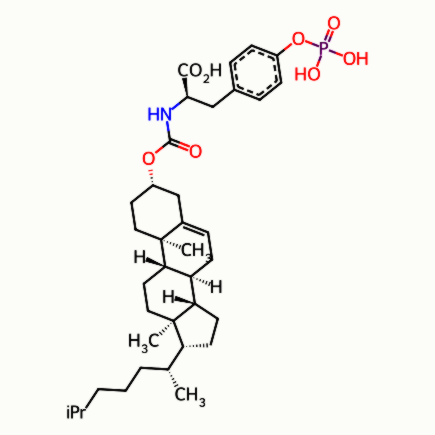 CC(C)CCC[C@@H](C)[C@H]1CC[C@H]2[C@@H]3CC=C4C[C@@H](OC(=O)N[C@H](Cc5ccc(OP(=O)(O)O)cc5)C(=O)O)CC[C@]4(C)[C@H]3CC[C@]12C